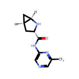 O=C(Nc1cncc(C(F)(F)F)n1)[C@@H]1C[C@H]2C[C@H]2N1